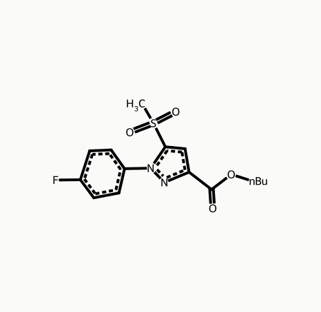 CCCCOC(=O)c1cc(S(C)(=O)=O)n(-c2ccc(F)cc2)n1